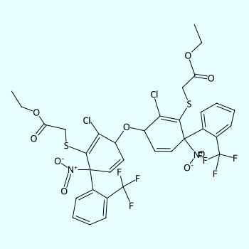 CCOC(=O)CSC1=C(Cl)C(OC2C=CC(c3ccccc3C(F)(F)F)([N+](=O)[O-])C(SCC(=O)OCC)=C2Cl)C=CC1(c1ccccc1C(F)(F)F)[N+](=O)[O-]